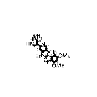 CCN1C(=O)N(c2c(F)c(OC)cc(OC)c2F)Cc2cnc(/C(C=N)=C/PC)cc21